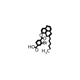 CCCCCCC1=Cc2cccc3cccc(c23)C1OC(=O)c1ccc(C(=O)O)cc1Br